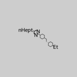 CCCCCCCc1cnc(C2CCC(CC[C@H]3CC[C@H](CC)CC3)CC2)nc1